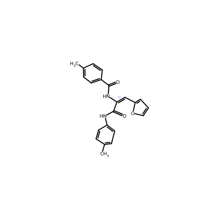 Cc1ccc(NC(=O)/C(=C\c2ccco2)NC(=O)c2ccc(C)cc2)cc1